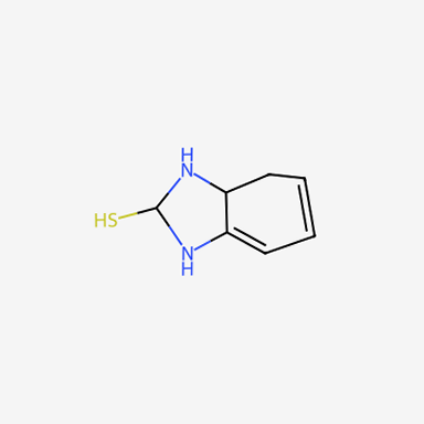 SC1NC2=CC=CCC2N1